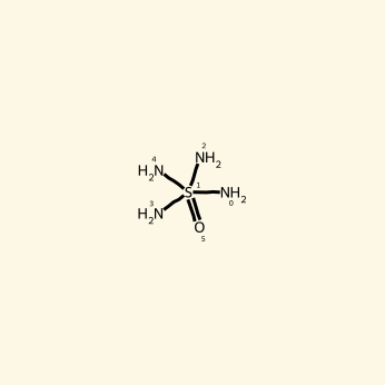 NS(N)(N)(N)=O